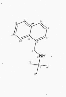 CC(C)(C)NCc1cccc2ccccc12